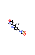 Cc1cc(-c2[nH]c3ccc(CCN4CCS(=O)(=O)CC4)cc3c2C(C)C)cn(C)c1=O